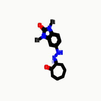 CCn1c(=O)n(CC)c2cc(N/N=C3\CCCCCC3=O)ccc21